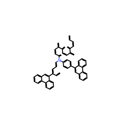 C=C/C=C\C(=C)C(=C)/C=C\C(=C)C(=C)/C=C\C(=C)N(/C=C/C=C(\C=C)c1cc2ccccc2c2ccccc12)c1ccc(-c2cc3ccccc3c3ccccc23)cc1